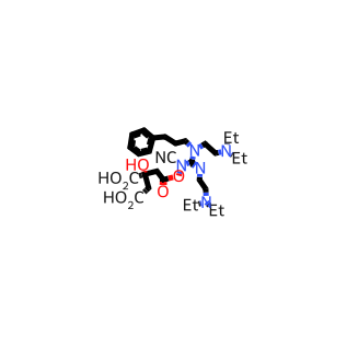 CCN(CC)CCN=C(N(CCCc1ccccc1)CCN(CC)CC)N(C#N)OC(=O)CC(O)(CC(=O)O)C(=O)O